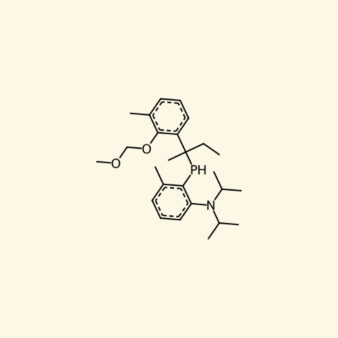 CCC(C)(Pc1c(C)cccc1N(C(C)C)C(C)C)c1cccc(C)c1OCOC